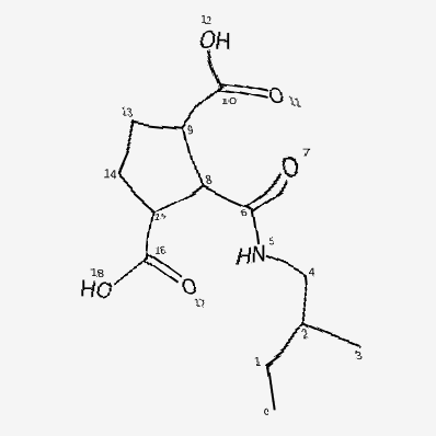 CCC(C)CNC(=O)C1C(C(=O)O)CCC1C(=O)O